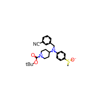 C[S+]([O-])c1ccc(N(Cc2cccc(C#N)c2)C2CCN(C(=O)OC(C)(C)C)CC2)cc1